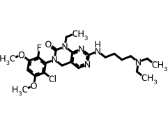 CCN(CC)CCCCNc1ncc2c(n1)N(CC)C(=O)N(c1c(F)c(OC)cc(OC)c1Cl)C2